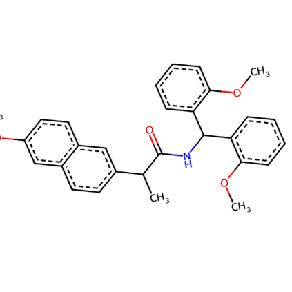 COc1ccc2cc(C(C)C(=O)NC(c3ccccc3OC)c3ccccc3OC)ccc2c1